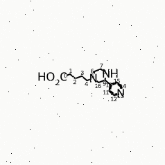 O=C(O)CCCCN1CCNC(c2ccncc2)C1